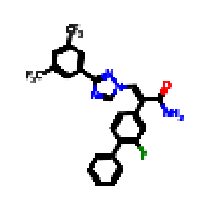 NC(=O)C(=Cn1cnc(-c2cc(C(F)(F)F)cc(C(F)(F)F)c2)n1)c1ccc(-c2ccccc2)c(F)c1